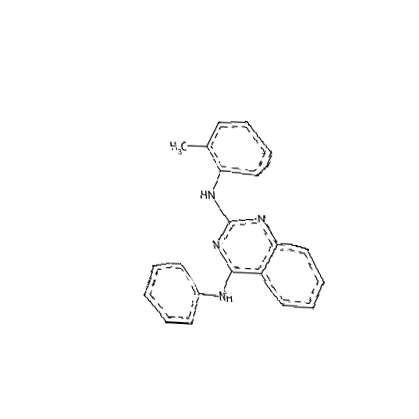 Cc1ccccc1Nc1nc(Nc2ccccc2)c2ccccc2n1